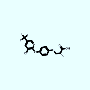 C[C@H](COc1ccc(Oc2ncc(C(F)(F)F)cc2Cl)cc1)C(=O)O